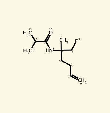 C=CCCC(C)(CF)NC(=O)C(C)C